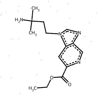 CCOC(=O)c1cc2c(cn1)ncn2CCC(C)(C)N